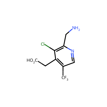 NCc1ncc(C(F)(F)F)c(CC(=O)O)c1Cl